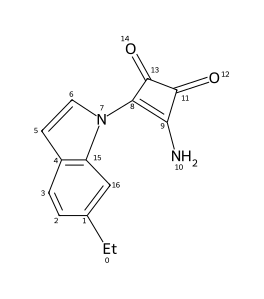 CCc1ccc2ccn(-c3c(N)c(=O)c3=O)c2c1